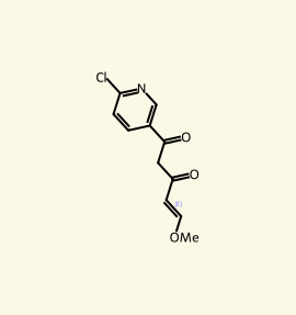 CO/C=C/C(=O)CC(=O)c1ccc(Cl)nc1